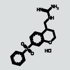 Cl.N=C(N)NCC1CCOc2cc(S(=O)(=O)c3ccccc3)ccc21